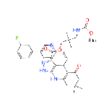 CC(C)(CNC(=O)OC(C)(C)C)COC(=O)c1n[nH]c2c1C(C=Cc1ccc(-c3cccc(F)c3)cn1)C1=C(CC(C)(C)CC1=O)N2